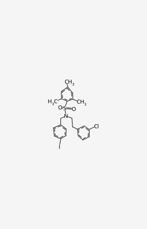 Cc1cc(C)c(S(=O)(=O)N(CCc2cccc(Cl)c2)Cc2ccc(I)cc2)c(C)c1